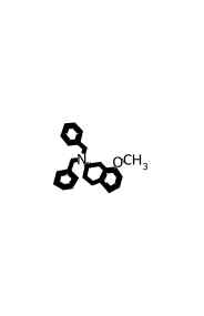 COc1cccc2c1C[C@H](N(Cc1ccccc1)Cc1ccccc1)CC2